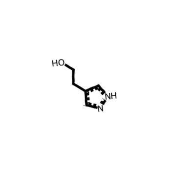 OCCc1[c]n[nH]c1